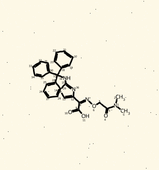 CN(C)C(=O)CON=C(C(=O)O)c1csc(NC(c2ccccc2)(c2ccccc2)c2ccccc2)n1